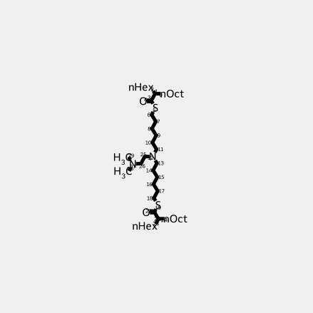 CCCCCCCCC(CCCCCC)C(=O)SCCCCCCN(CCCCCCSC(=O)C(CCCCCC)CCCCCCCC)CCN(C)C